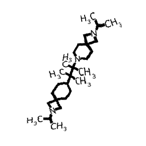 CC(C)N1CC2(CCC(C(C)(C)C(C)(C)N3CCC4(CC3)CN(C(C)C)C4)CC2)C1